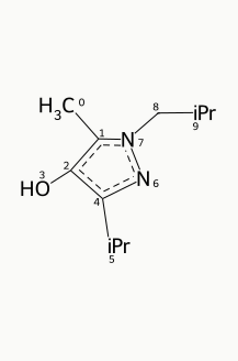 Cc1c(O)c(C(C)C)nn1CC(C)C